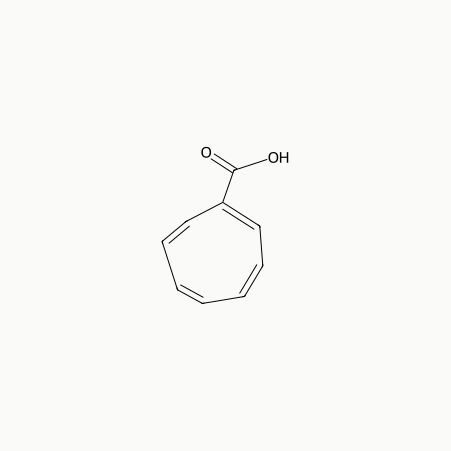 O=C(O)C1=CC=CC=CC=C1